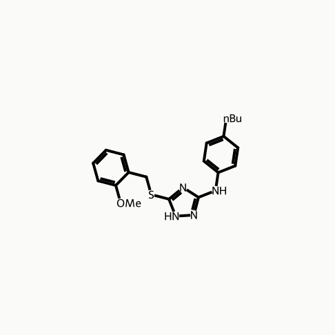 CCCCc1ccc(Nc2n[nH]c(SCc3ccccc3OC)n2)cc1